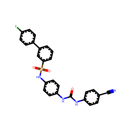 N#Cc1ccc(NC(=O)Nc2ccc(NS(=O)(=O)c3cccc(-c4ccc(F)cc4)c3)cc2)cc1